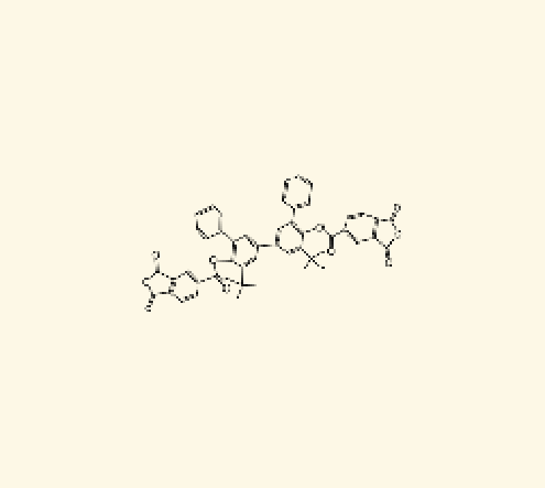 CC(C)(C)c1cc(-c2cc(-c3ccccc3)c(OC(=O)c3ccc4c(c3)C(=O)OC4=O)c(C(C)(C)C)c2)cc(-c2ccccc2)c1OC(=O)c1ccc2c(c1)C(=O)OC2=O